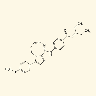 CCC(=CC(=O)c1ccc(N/C2=N/C=C\CCC3C(c4ccc(OC)cc4)=CN=C23)cc1)CC